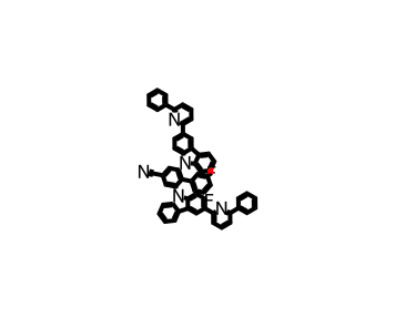 N#Cc1cc(-n2c3ccccc3c3cc(-c4cccc(-c5ccccc5)n4)ccc32)c(-c2cc(F)cc(F)c2)c(-n2c3ccccc3c3cc(-c4cccc(-c5ccccc5)n4)ccc32)c1